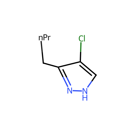 CCCCc1n[nH]cc1Cl